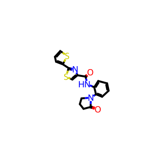 O=C(Nc1ccccc1N1CCCC1=O)c1csc(-c2cccs2)n1